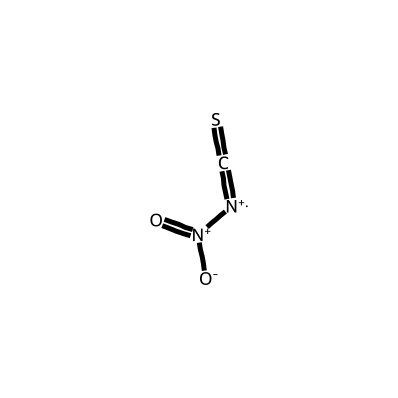 O=[N+]([O-])[N+]=C=S